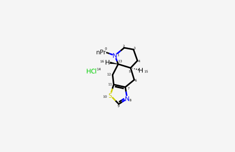 CCCN1CCC[C@H]2Cc3ncsc3C[C@@H]21.Cl